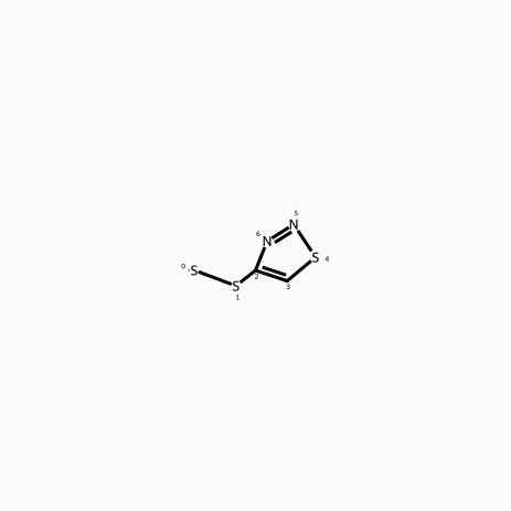 [S]Sc1csnn1